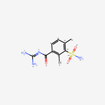 CCc1c(C(=O)N=C(N)N)ccc(C)c1S(N)(=O)=O